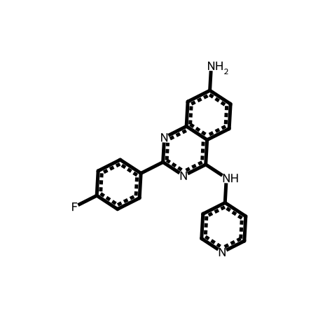 Nc1ccc2c(Nc3ccncc3)nc(-c3ccc(F)cc3)nc2c1